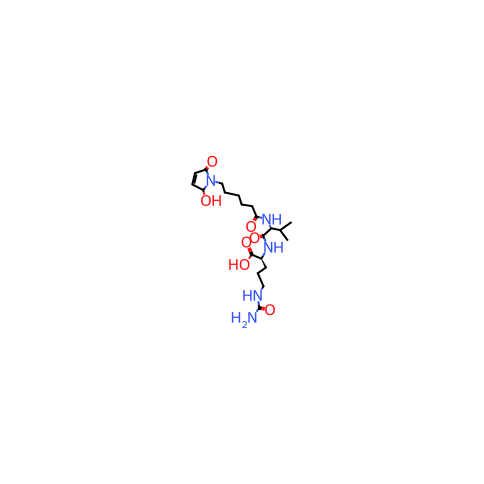 CC(C)[C@H](NC(=O)CCCCCN1C(=O)C=CC1O)C(=O)N[C@@H](CCCNC(N)=O)C(=O)O